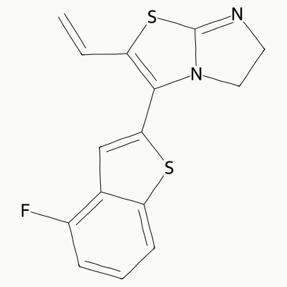 C=CC1=C(c2cc3c(F)cccc3s2)N2CCN=C2S1